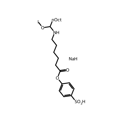 CCCCCCCCC(NCCCCCC(=O)Oc1ccc(S(=O)(=O)O)cc1)OI.[NaH]